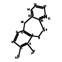 Fc1ccc2c(c1F)CSc1ncccc1C2